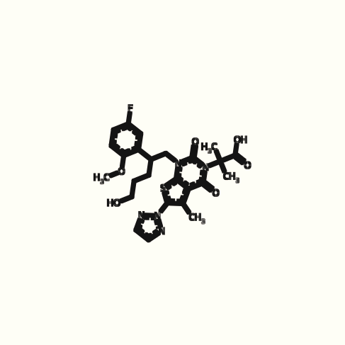 COc1ccc(F)cc1C(CCCO)Cn1c(=O)n(C(C)(C)C(=O)O)c(=O)c2c(C)c(-n3nccn3)sc21